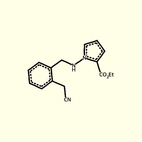 CCOC(=O)c1cccn1NCc1ccccc1CC#N